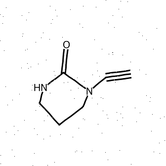 C#CN1CCCNC1=O